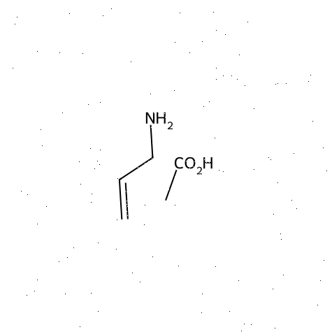 C=CCN.CC(=O)O